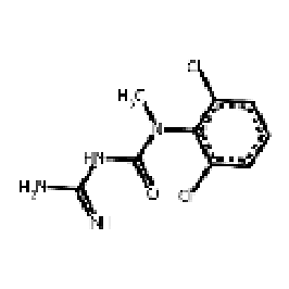 CN(C(=O)NC(=N)N)c1c(Cl)cccc1Cl